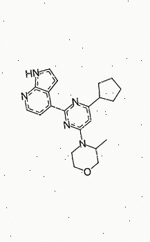 CC1COCCN1c1cc(C2CCCC2)nc(-c2ccnc3[nH]ccc23)n1